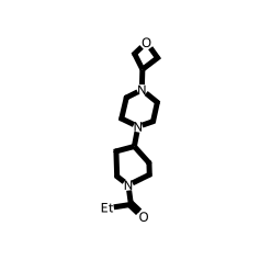 CCC(=O)N1CCC(N2CCN(C3COC3)CC2)CC1